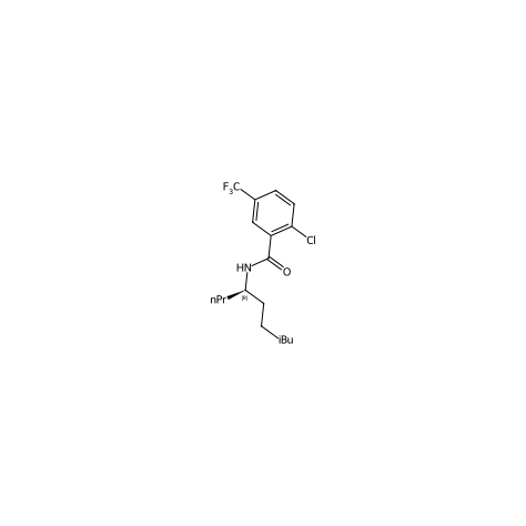 CCC[C@H](CCC(C)CC)NC(=O)c1cc(C(F)(F)F)ccc1Cl